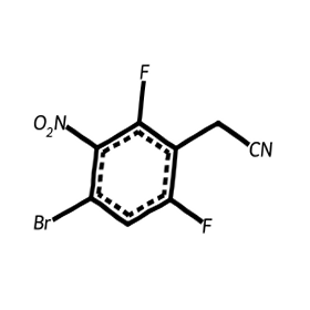 N#CCc1c(F)cc(Br)c([N+](=O)[O-])c1F